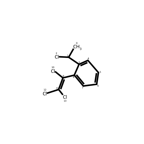 CC(Cl)c1ccccc1C(Cl)=C(Cl)Cl